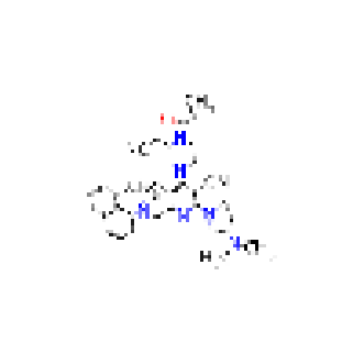 C=CC(=O)N1CCN(c2c(C#N)c(N3CCC(N(C)C)C3)nc3c2CCN(c2cccc4cccc(C)c24)C3)CC1CC#N